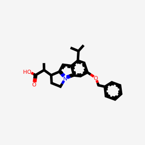 CC(C)c1cc(OCc2ccccc2)cc2c1cc1n2CCC1C(C)C(=O)O